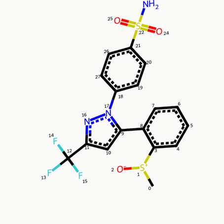 C[S+]([O-])c1ccccc1-c1cc(C(F)(F)F)nn1-c1ccc(S(N)(=O)=O)cc1